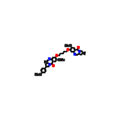 COc1ccc(C2=CN3C(=O)c4cc(OC)c(OCCCCCOc5cc6c(cc5OC)C(=O)N5CC7(CC7)CC5C=N6)cc4N=C[C@@H]3C2)cc1